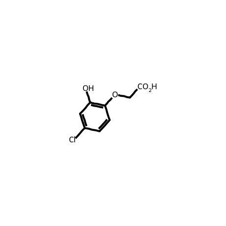 O=C(O)COc1ccc(Cl)cc1O